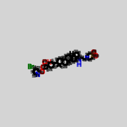 CC1(C)C(C2=CCC(CCOc3cc(Br)ccn3)(C(=O)O)CC2)=CC[C@@]2(C)C1CC[C@]1(C)C2CC[C@@H]2[C@H]3CCC[C@]3(NCCN3CCS(=O)(=O)CC3)CC[C@]21C